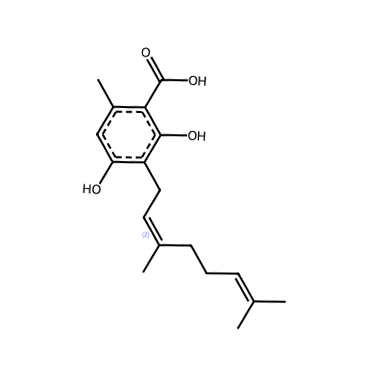 CC(C)=CCC/C(C)=C\Cc1c(O)cc(C)c(C(=O)O)c1O